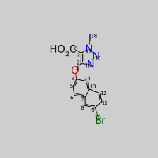 O=C(O)c1c(Oc2ccc3cc(Br)ccc3c2)nnn1I